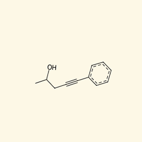 CC(O)CC#Cc1ccccc1